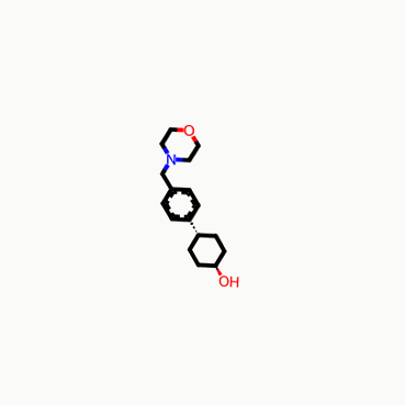 O[C@H]1CC[C@H](c2ccc(CN3CCOCC3)cc2)CC1